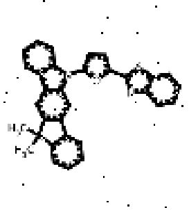 CC1(C)c2ccccc2-c2cc3c(cc21)c1ccccc1n3-c1ccc(-c2nc3ccccc3s2)o1